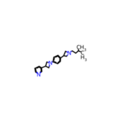 CC(C)CCN1CC(c2ccc(N3CC(c4cccnc4)C3)cc2)C1